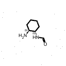 N[C@H]1CCCC[C@@H]1NC=O